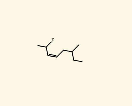 CCC(C)C/C=C\C(C)F